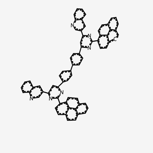 c1ccc2ncc(-c3cc(-c4ccc(-c5ccc(-c6cc(-c7cnc8ccccc8c7)nc(-c7ccc8ccc9cccc%10ccc7c8c9%10)n6)cc5)cc4)nc(-c4ccc5ccc6cccc7ccc4c5c67)n3)cc2c1